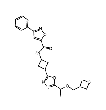 CC(OCC1COC1)c1nnc(C2CC(NC(=O)c3cc(-c4ccccc4)no3)C2)o1